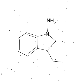 CCC1CN(N)c2ccccc21